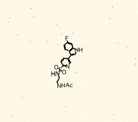 CC(=O)NCCNS(=O)(=O)c1ccc(-c2c[nH]c3cc(F)ccc23)cn1